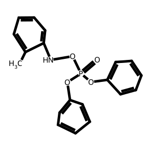 Cc1ccccc1NOP(=O)(Oc1ccccc1)Oc1ccccc1